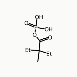 CCC(C)(CC)C(=O)OP(=O)(O)O